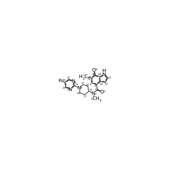 CN(C(=O)c1cn(C)c(=O)c2[nH]ccc12)C1CCN(c2ncc(F)cn2)CC1